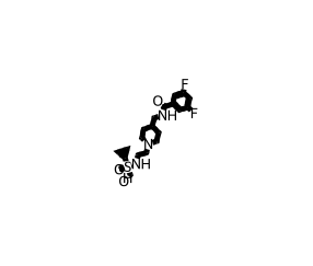 O=C[SH](=O)(NCCN1CCC(CNC(=O)c2cc(F)cc(F)c2)CC1)C1CC1